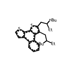 CCCCC(CC)Cc1sc2c3sccc3c3ccccc3c2c1CC(CC)CCCC